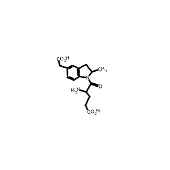 CC1Cc2cc(CC(=O)O)ccc2N1C(=O)C(N)CCC(=O)O